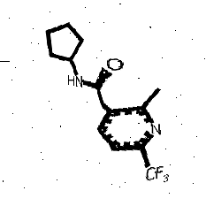 Cc1nc(C(F)(F)F)ccc1C(=O)NC1CCCC1